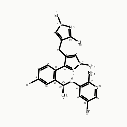 CCn1cc(Cc2cn(C)nc2-c2ccc(F)cc2[C@H](C)Oc2cc(Br)cnc2N)c(Cl)n1